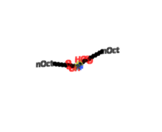 CCCCCCCCC=CCCCCCCCC(=O)OCC(O)CSc1nnc(SCC(O)COC(=O)CCCCCCCC=CCCCCCCCC)s1